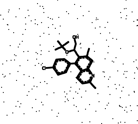 Cc1ccc2c(-c3ccc(Cl)cc3)c(C(CO)OC(C)(C)C)c(C)cc2n1